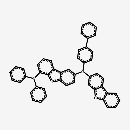 c1ccc(-c2ccc(N(c3ccc4c(c3)oc3ccccc34)c3ccc4sc5c(N(c6ccccc6)c6ccccc6)cccc5c4c3)cc2)cc1